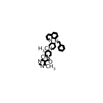 Cc1ncnc(C)c1C(=O)N1CCC(C)(N2CCC(N(Cc3ccccc3)c3cccc4cccnc34)CC2)CC1